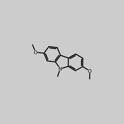 COc1ccc2c3ccc(OC)cc3n(C)c2c1